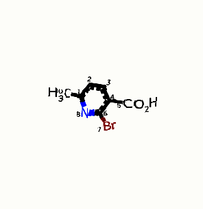 Cc1ccc(C(=O)O)c(Br)n1